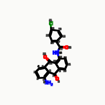 Nc1cccc2c1C(=O)c1cccc(NC(=O)c3ccc(Cl)cc3)c1C2=O